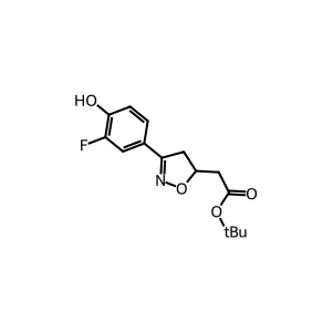 CC(C)(C)OC(=O)CC1CC(c2ccc(O)c(F)c2)=NO1